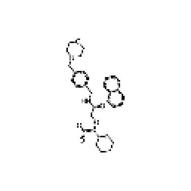 O=C(COC(C1CCCCN1)=S(=O)=O)NCc1ccc(CN2CCOCC2)cc1.c1ccc2ccccc2c1